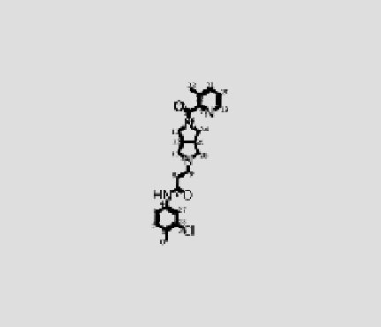 Cc1ccc(NC(=O)CCN2CC3CN(C(=O)c4ncccc4C)CC3C2)cc1Cl